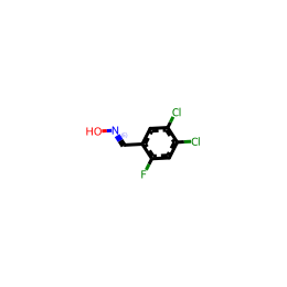 O/N=C/c1cc(Cl)c(Cl)cc1F